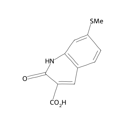 CSc1ccc2cc(C(=O)O)c(=O)[nH]c2c1